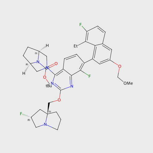 CCc1c(F)ccc2cc(OCOC)cc(-c3ccc4c(N5C[C@H]6CC[C@@H](C5)N6C(=O)OC(C)(C)C)nc(OC[C@@]56CCCN5C[C@H](F)C6)nc4c3F)c12